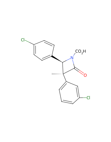 C[C@@]1(c2cccc(Cl)c2)C(=O)N(C(=O)O)[C@@H]1c1ccc(Cl)cc1